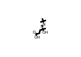 CC(C)(C)/N=N/C(C)(O)CCC(=O)O